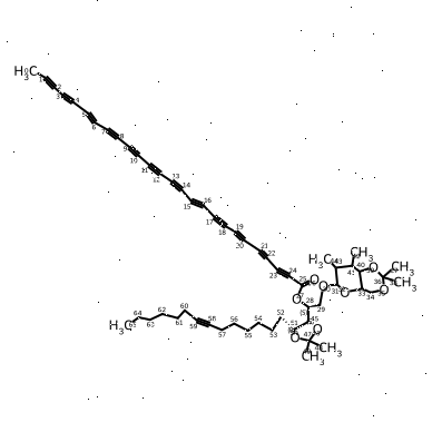 CC#CC#CC#CC#CC#CC#CC#CC#CC#CC#CC#CC#CC(=O)O[C@@H](COC1OC2COC(C)(C)OC2C(C)C1C)[C@@H]1OC(C)(C)O[C@@H]1CCCCCCC#CCCCCCC